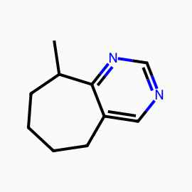 CC1CCCCc2cncnc21